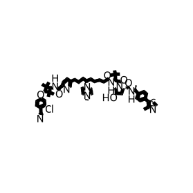 Cc1ncsc1-c1ccc([C@H](C)NC(=O)[C@@H]2C[C@@H](O)CN2C(=O)C(NC(=O)CCCCC(CCCc2ccc(C(=O)NC3C(C)(C)C(Oc4ccc(C#N)c(Cl)c4)C3(C)C)nc2)N2CCN(C)CC2)C(C)(C)C)cc1